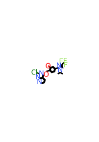 COc1cc(-c2nc(C(F)(F)F)cn2C(C)C)ccc1COc1nc(Cl)nc2ncccc12